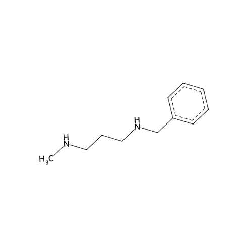 CNCCCNCc1ccccc1